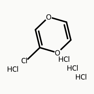 Cl.Cl.Cl.Cl.ClC1=COC=CO1